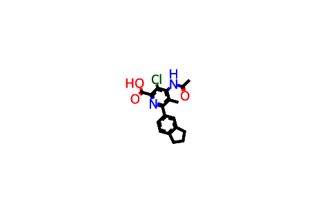 CC(=O)Nc1c(C)c(-c2ccc3c(c2)CCC3)nc(C(=O)O)c1Cl